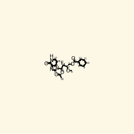 CO[C@H](COC(=O)c1ccccc1)[C@H](F)[C@@H](OC(C)=O)n1cnc2c(=O)[nH]ccc21